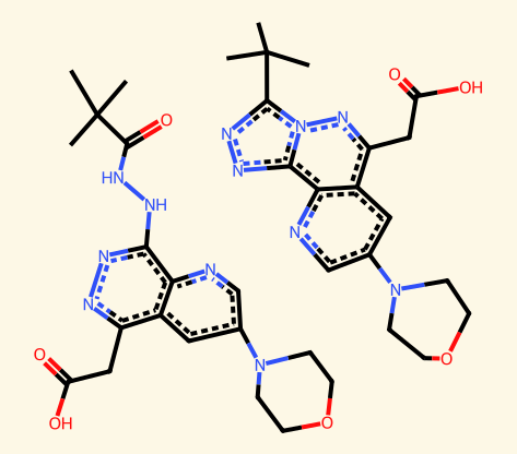 CC(C)(C)C(=O)NNc1nnc(CC(=O)O)c2cc(N3CCOCC3)cnc12.CC(C)(C)c1nnc2c3ncc(N4CCOCC4)cc3c(CC(=O)O)nn12